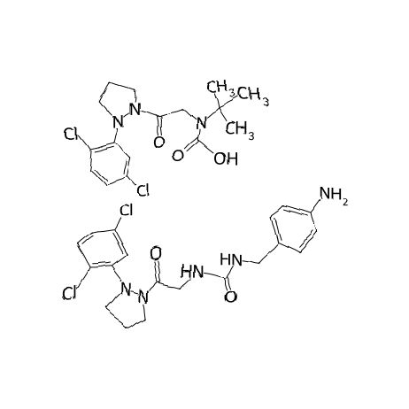 CC(C)(C)N(CC(=O)N1CCCN1c1cc(Cl)ccc1Cl)C(=O)O.Nc1ccc(CNC(=O)NCC(=O)N2CCCN2c2cc(Cl)ccc2Cl)cc1